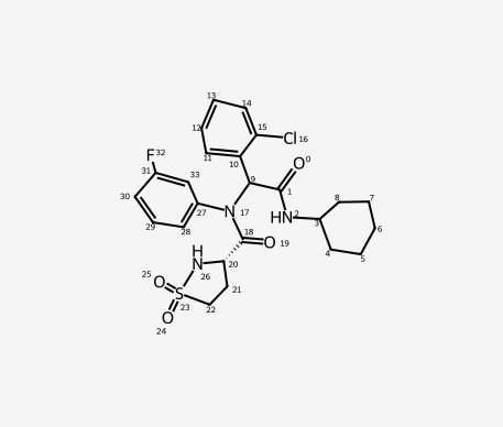 O=C(NC1CCCCC1)C(c1ccccc1Cl)N(C(=O)[C@@H]1CCS(=O)(=O)N1)c1cccc(F)c1